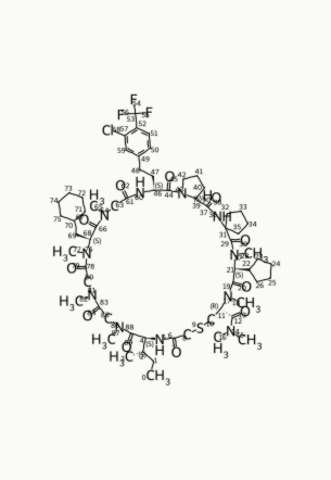 CC[C@H](C)[C@@H]1NC(=O)CSC[C@@H](C(=O)N(C)C)N(C)C(=O)[C@H](C2CCCC2)N(C)C(=O)C2(CCCC2)NC(=O)[C@@H]2CCCN2C(=O)[C@H](CCc2ccc(C(F)(F)F)c(Cl)c2)NC(=O)CN(C)C(=O)[C@H](CC2CCCCC2)N(C)C(=O)CN(C)C(=O)CN(C)C1=O